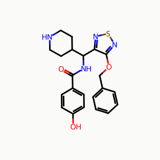 O=C(NC(c1nsnc1OCc1ccccc1)C1CCNCC1)c1ccc(O)cc1